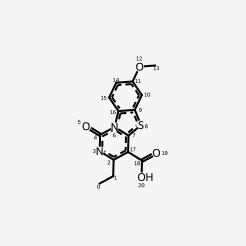 CCc1nc(=O)n2c(sc3cc(OC)ccc32)c1C(=O)O